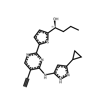 C#Cc1cnc(-c2ccc([C@@H](O)CCC)s2)nc1Nc1cc(C2CC2)n[nH]1